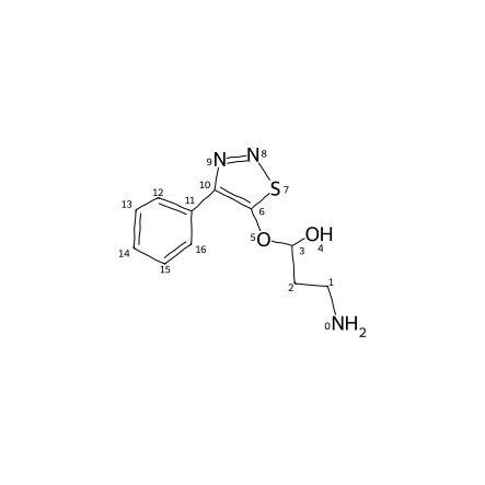 NCCC(O)Oc1snnc1-c1ccccc1